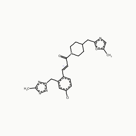 Cc1nnn(Cc2cc(Cl)ccc2/C=C/C(=O)N2CCC(Cc3ncc(C)o3)CC2)n1